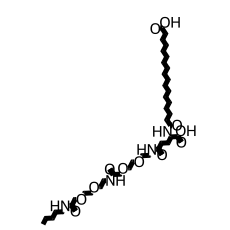 CCCCCNC(=O)COCCOCCNC(=O)COCCOCCNC(=O)CCC(NC(=O)CCCCCCCCCCCCCCCCC(=O)O)C(=O)O